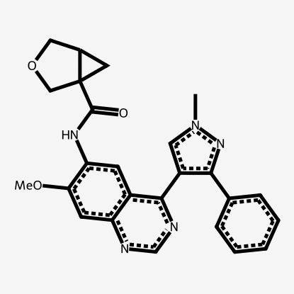 COc1cc2ncnc(-c3cn(C)nc3-c3ccccc3)c2cc1NC(=O)C12COCC1C2